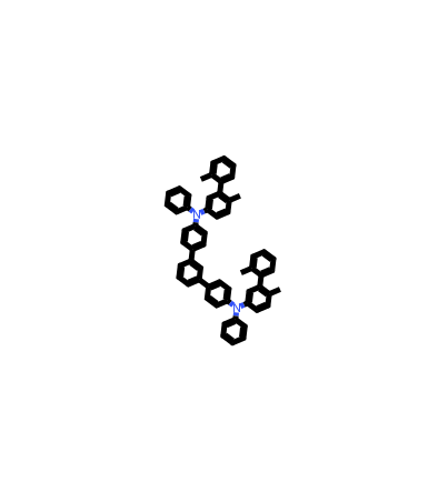 Cc1ccccc1-c1cc(N(c2ccccc2)c2ccc(-c3cccc(-c4ccc(N(c5ccccc5)c5ccc(C)c(-c6ccccc6C)c5)cc4)c3)cc2)ccc1C